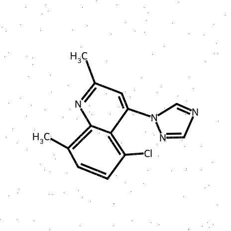 Cc1cc(-n2cncn2)c2c(Cl)ccc(C)c2n1